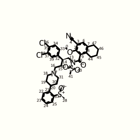 COc1c(C#N)cc2c(c1C(=O)N(C[C@@H](CCN1CCC(c3ccccc3[S@+](C)[O-])CC1)c1ccc(Cl)c(Cl)c1)S(C)(=O)=O)CCCC2